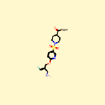 CNC(=O)C1CCN(S(=O)(=O)c2ccc(OC/C(=C\F)CN)nc2)CC1